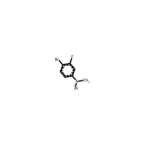 CC(C)N(C)c1ccc(Br)c(F)c1